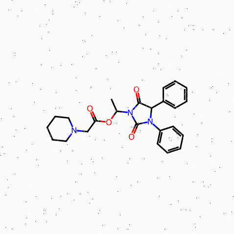 CC(OC(=O)CN1CCCCC1)N1C(=O)C(c2ccccc2)N(c2ccccc2)C1=O